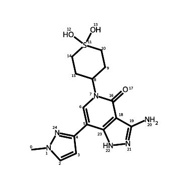 Cn1ccc(-c2cn(C3CCS(O)(O)CC3)c(=O)c3c(N)n[nH]c23)n1